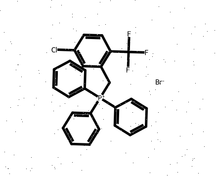 FC(F)(F)c1ccc(Cl)cc1C[P+](c1ccccc1)(c1ccccc1)c1ccccc1.[Br-]